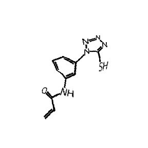 C=CC(=O)Nc1cccc(-n2nnnc2S)c1